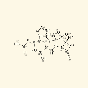 C[C@]1(Cn2ccnn2)[C@@H](N[C@H]2CC[C@@H](CC(=O)O)OB2O)N2C(=O)C[C@H]2S1(=O)=O